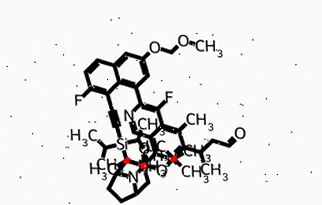 COCOc1cc(-c2ncc3c(N4CC5CCC(C4)N5C(=O)OC(C)(C)C)nc(C(C)CC=O)c(C)c3c2F)c2c(C#C[Si](C(C)C)(C(C)C)C(C)C)c(F)ccc2c1